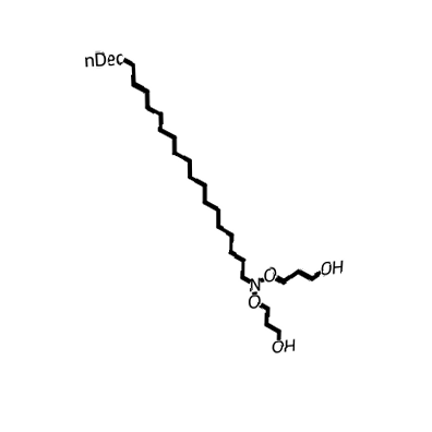 CCCCCCCCCCCCCCCCCCCCCCCCCCCCN(OCCCO)OCCCO